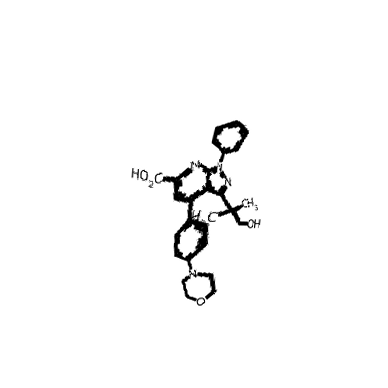 CC(C)(CO)c1nn(-c2ccccc2)c2nc(C(=O)O)cc(-c3ccc(N4CCOCC4)cc3)c12